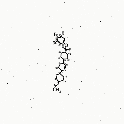 CCCC1CCC(C2C=CC(C3CCC(C(F)(F)Oc4cc(F)c(F)c(F)c4)CC3)CC2)CC1